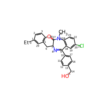 CCc1cccc(CC2N=C(c3ccc(CO)cc3)c3cc(Cl)ccc3N(C)C2=O)c1